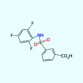 O=C(O)c1cccc(S(=O)(=O)Nc2c(F)cc(F)cc2F)c1